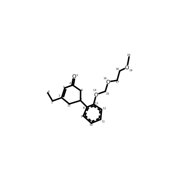 CCC1=CC(=O)CC(c2ccccc2OCOCCOC)C1